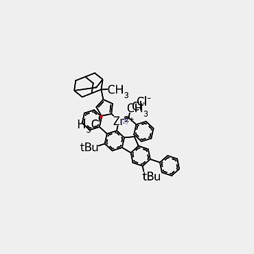 C/[C](c1ccccc1)=[Zr+2](\[C]1=CC(C2(C)C3CC4CC(C3)CC2C4)=CC1C)[c]1c2c(cc(C(C)(C)C)c1-c1ccccc1)-c1cc(C(C)(C)C)c(-c3ccccc3)cc1C2.[Cl-].[Cl-]